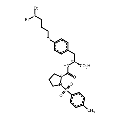 CCN(CC)CCCOc1ccc(C[C@H](NC(=O)[C@@H]2CCCN2S(=O)(=O)c2ccc(C)cc2)C(=O)O)cc1